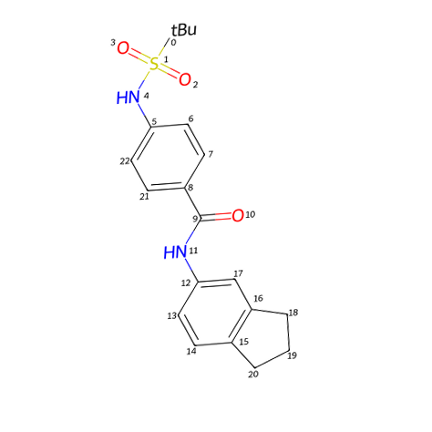 CC(C)(C)S(=O)(=O)Nc1ccc(C(=O)Nc2ccc3c(c2)CCC3)cc1